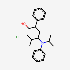 CC(C)C(CC(CO)c1ccccc1)N(c1ccccc1)C(C)C.Cl